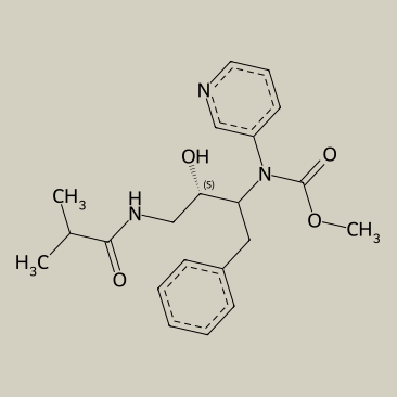 COC(=O)N(c1cccnc1)C(Cc1ccccc1)[C@@H](O)CNC(=O)C(C)C